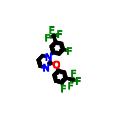 Fc1cc(N2CC=CN=C2Oc2ccc(F)c(C(F)(F)F)c2)cc(C(F)(F)F)c1